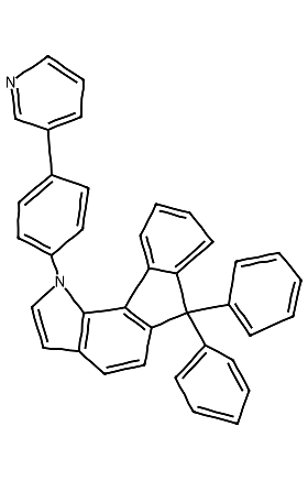 c1ccc(C2(c3ccccc3)c3ccccc3-c3c2ccc2ccn(-c4ccc(-c5cccnc5)cc4)c32)cc1